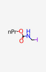 CCCOC(=O)NCI